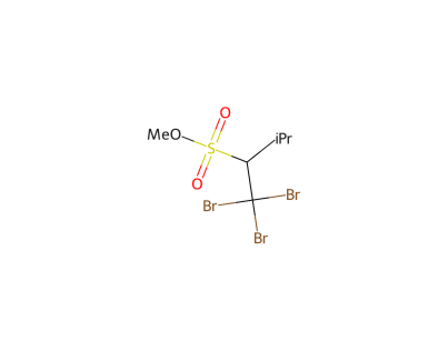 COS(=O)(=O)C(C(C)C)C(Br)(Br)Br